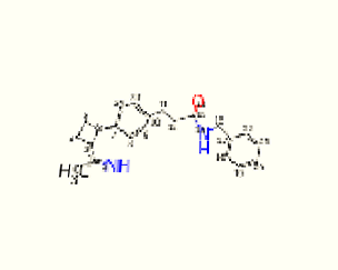 CC(=N)C1CC[C@H]1c1ccc(CCC(=O)NCc2ccccc2)cc1